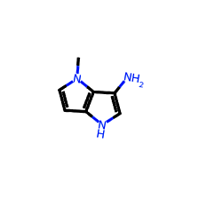 Cn1ccc2[nH]cc(N)c21